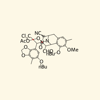 CCCCOc1cc(C(COC(C)=O)N2C(C=O)C3c4c(cc(C)c(OC)c4OCCCC)CC([C@@H]2C#N)N3C(=O)OCC(Cl)(Cl)Cl)c2c(c1C)OCO2